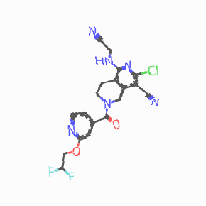 N#CCNc1nc(Cl)c(C#N)c2c1CCN(C(=O)c1ccnc(OCC(F)F)c1)C2